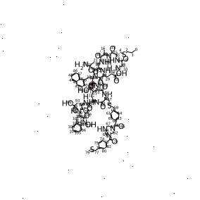 CCCSC[C@H](NC(=O)[C@H](C)N)C(=O)N[C@H](C)C(=O)N[C@@H](CC(N)=O)C(=O)N[C@@H](CCC(=O)O)C(=O)N[C@@H](Cc1cccc2ccccc12)C(=O)N[C@H]1C(=O)N[C@H](CSCc2ccc(C(=O)N3CNCN(C(=O)c4ccc(CSC)cc4)C3)cc2)C(=O)N[C@H](C(=O)N[C@@H](CC(=O)O)C(=O)N[C@@H](Cc2ccccc2)C(=O)NO)CC1C(=O)O